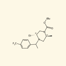 CC[C@@H]1CN(C(=O)OC(C)(C)C)[C@@H](C)CN1C(C)c1ccc(C(F)(F)F)cc1